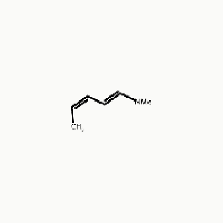 C/C=C\C=C\NC